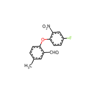 Cc1ccc(Oc2ccc(F)cc2[N+](=O)[O-])c(C=O)c1